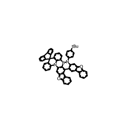 CC(C)(C)c1ccc(N2B3c4cccc5c4N(c4ccccc4C54c5ccccc5-c5ccccc54)c4cc5oc6ccccc6c5c(c43)-c3cc4c(cc32)oc2ccccc24)cc1